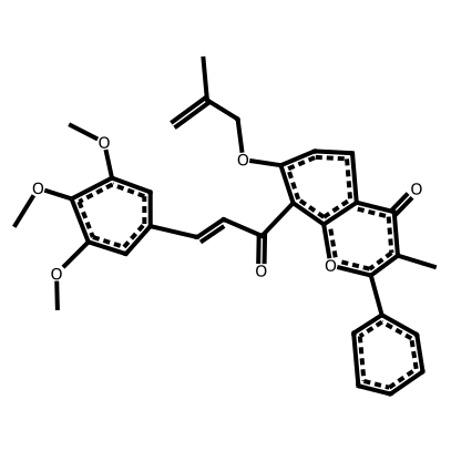 C=C(C)COc1ccc2c(=O)c(C)c(-c3ccccc3)oc2c1C(=O)C=Cc1cc(OC)c(OC)c(OC)c1